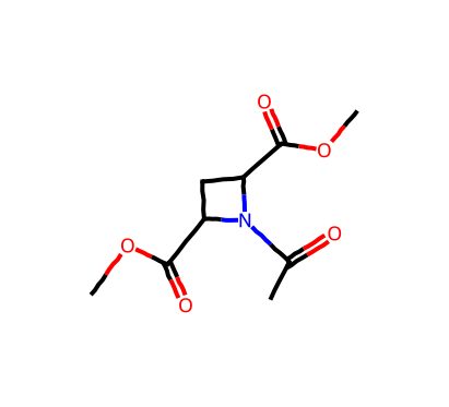 COC(=O)C1CC(C(=O)OC)N1C(C)=O